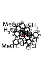 COc1ccc(C(=CC2(C=C(c3ccc(OC)cc3)C3(C)C=CC(C)=CC3NC3CCCCC3)OC(=O)c3c(Cl)c(Cl)c(Cl)c(Cl)c32)C2(C)C=CC(C)=CC2NC2CCCCC2)cc1